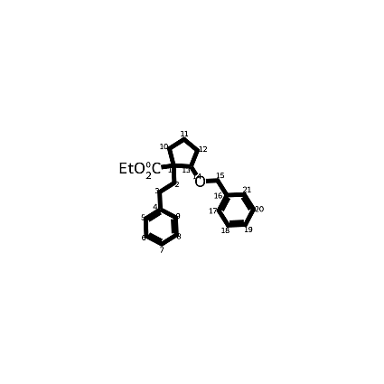 CCOC(=O)C1(CCc2ccccc2)CCCC1OCc1ccccc1